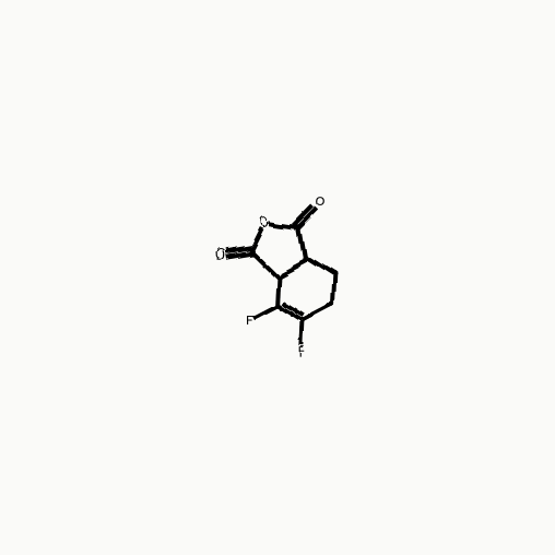 O=C1OC(=O)C2C(F)=C(F)CCC12